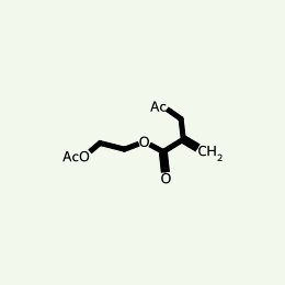 C=C(CC(C)=O)C(=O)OCCOC(C)=O